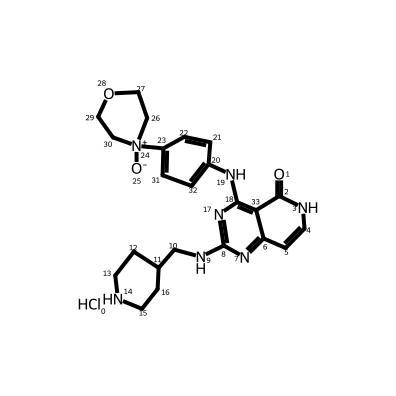 Cl.O=c1[nH]ccc2nc(NCC3CCNCC3)nc(Nc3ccc([N+]4([O-])CCOCC4)cc3)c12